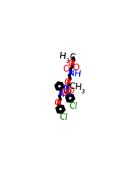 CCOC(=O)C(=O)NCCOC(C)N(c1ccccc1NCCOc1ccc(Cl)cc1)S(=O)(=O)c1ccc(Cl)cc1